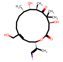 C/C(=C\I)[C@@H]1C/C=C(/CO)CCC[C@H](C)[C@H](O)[C@@H](C)C(=O)C(C)(C)[C@@H](O)CC(=O)O1